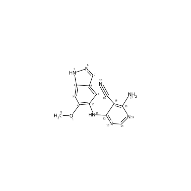 COc1cc2[nH]ncc2cc1Nc1ncnc(N)c1C#N